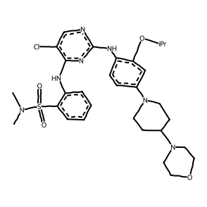 CC(C)Oc1cc(N2CCC(N3CCOCC3)CC2)ccc1Nc1ncc(Cl)c(Nc2ccccc2S(=O)(=O)N(C)C)n1